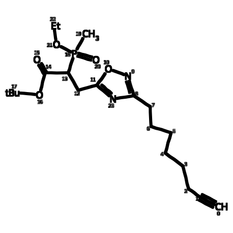 C#CCCCCCCc1noc(CC(C(=O)OC(C)(C)C)P(C)(=O)OCC)n1